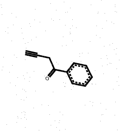 C#CCC(=O)c1ccccc1